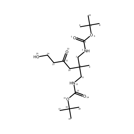 CC(CNC(=O)OC(C)(C)C)(CNC(=O)OC(C)(C)C)CC(=O)CCO